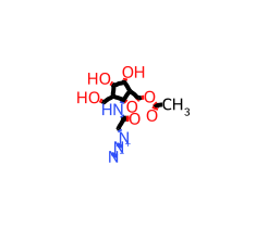 CC(=O)OC1OC2(NC(=O)CN=[N+]=[N-])C(CO)C(O)C(O)C12